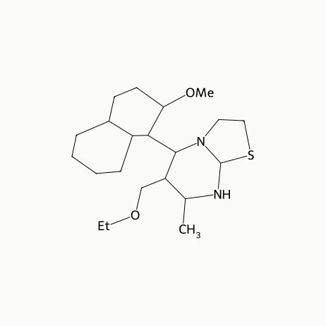 CCOCC1C(C)NC2SCCN2C1C1C(OC)CCC2CCCCC21